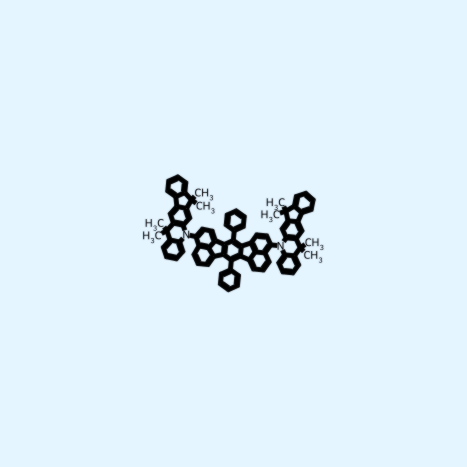 CC1(C)c2ccccc2-c2cc3c(cc21)N(c1ccc2c4c(-c5ccccc5)c5c6ccc(N7c8ccccc8C(C)(C)c8cc9c(cc87)C(C)(C)c7ccccc7-9)c7cccc(c5c(-c5ccccc5)c4c4cccc1c42)c76)c1ccccc1C3(C)C